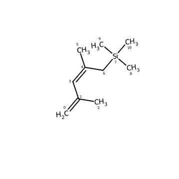 C=C(C)C=C(C)C[Si](C)(C)C